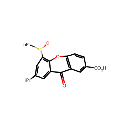 CCC[S+]([O-])c1cc(C(C)C)cc2c(=O)c3cc(C(=O)O)ccc3oc12